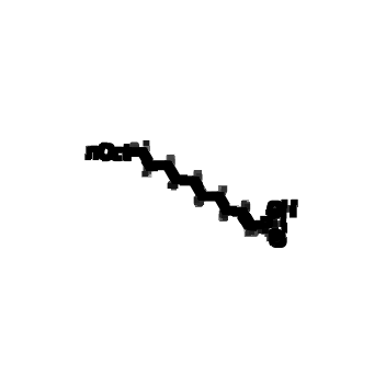 CCCCCCCCCCCCCCCCC=C[PH](=O)O